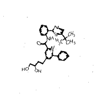 CC(C)(C)c1cnc(-c2ccccc2NC(=O)c2cc(CC[C@@H](O)CO)cc(-c3ccccc3)n2)s1